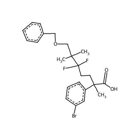 CC(CCC(F)(F)C(C)(C)COCc1ccccc1)(C(=O)O)c1cccc(Br)c1